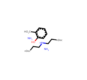 CCCCCCCCCCCCNCCCCCCCCCCCC.N.N.O=C(O)c1ccccc1O